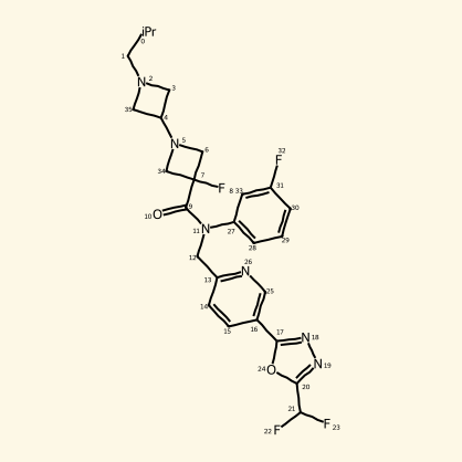 CC(C)CN1CC(N2CC(F)(C(=O)N(Cc3ccc(-c4nnc(C(F)F)o4)cn3)c3cccc(F)c3)C2)C1